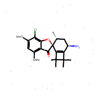 COc1cc(OC)c2c(c1Cl)O[C@]1(C2=O)C2=C([C@H](N)C[C@H]1C)C(C)(C)C2(C)C